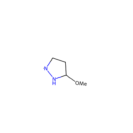 COC1CC[N]N1